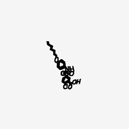 CCCCCCCOc1ccc(NS(=O)(=O)c2ccc(Cl)c(C(=O)O)c2)cc1